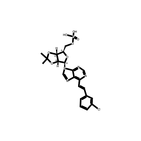 CC1(C)O[C@@H]2[C@H](O1)[C@@H](COP(=O)(O)O)O[C@H]2n1cnc2c(C=Cc3cccc(Cl)c3)ncnc21